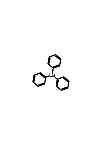 c1cc[c]([La]([c]2ccccc2)[c]2ccccc2)cc1